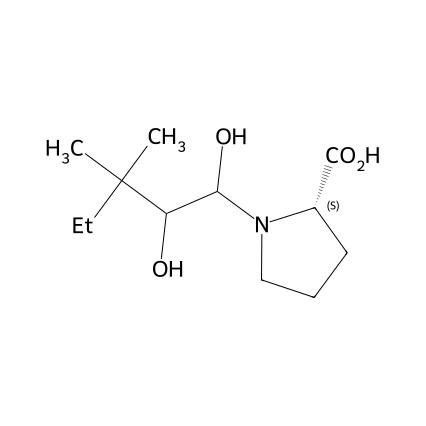 CCC(C)(C)C(O)C(O)N1CCC[C@H]1C(=O)O